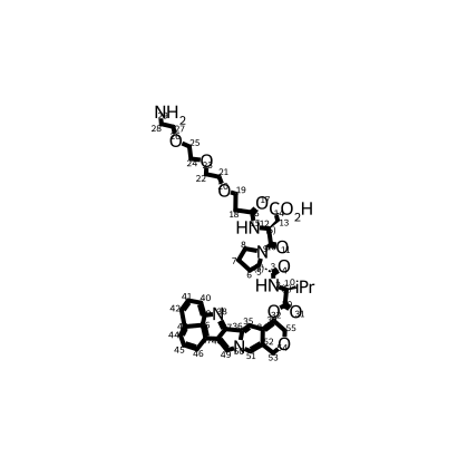 CC(C)[C@H](NC(=O)[C@@H]1CCCN1C(=O)[C@H](CC(=O)O)NC(=O)CCOCCOCCOCCN)C(=O)OC1=c2cc3c4nc5cccc6cccc(c4cn3cc2COC1)c65